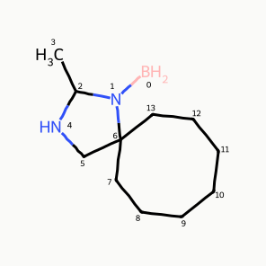 BN1C(C)NCC12CCCCCCC2